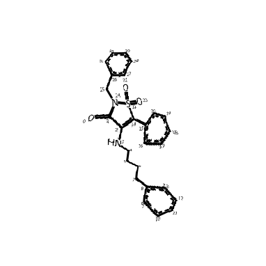 O=C1C(NCCCCc2ccccc2)=C(c2ccccc2)S(=O)(=O)N1Cc1ccccc1